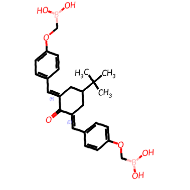 CC(C)(C)C1C/C(=C\c2ccc(OCB(O)O)cc2)C(=O)/C(=C/c2ccc(OCB(O)O)cc2)C1